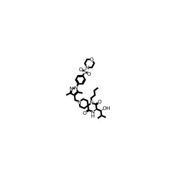 CCCCN1C(=O)[C@@H]([C@H](O)C(C)C)NC(=O)C12CCN(Cc1c(C)nn(-c3ccc(S(=O)(=O)N4CCOCC4)cc3)c1C)CC2